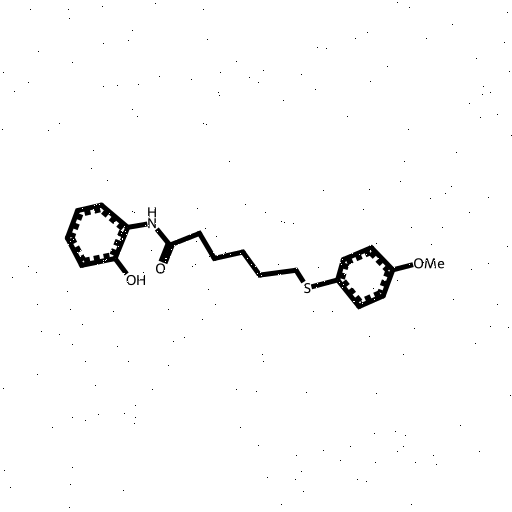 COc1ccc(SCCCCCC(=O)Nc2ccccc2O)cc1